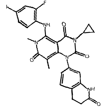 Cc1c(=O)n(C)c(Nc2ccc(I)cc2F)c2c(=O)n(C3CC3)c(=O)n(-c3ccc4c(c3)NC(=O)CC4)c12